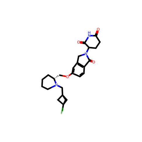 O=C1CCC(N2Cc3cc(OC[C@H]4CCCCN4CC45CC(F)(C4)C5)ccc3C2=O)C(=O)N1